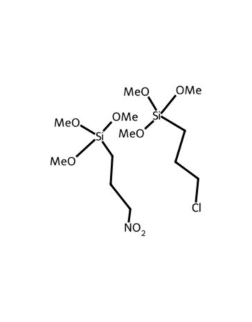 CO[Si](CCCCl)(OC)OC.CO[Si](CCC[N+](=O)[O-])(OC)OC